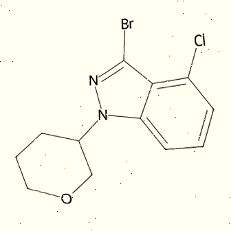 Clc1cccc2c1c(Br)nn2C1CCCOC1